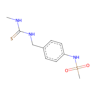 CNC(=S)NCc1ccc(NS(C)(=O)=O)cc1